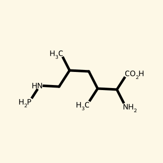 CC(CNP)CC(C)C(N)C(=O)O